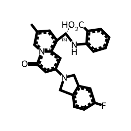 Cc1cc([C@H](C)Nc2ccccc2C(=O)O)c2cc(N3Cc4ccc(F)cc4C3)cc(=O)n2c1